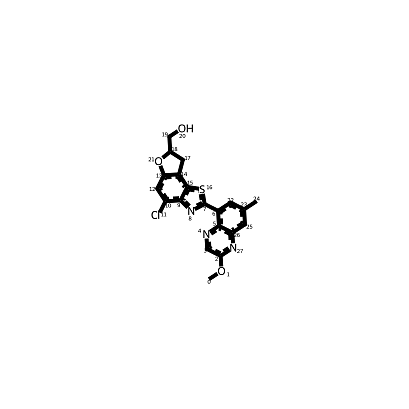 COc1cnc2c(-c3nc4c(Cl)cc5c(c4s3)CC(CO)O5)cc(C)cc2n1